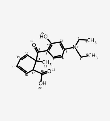 CCN(CC)c1ccc(C(=O)C2(C)C=CC=CC2C(=O)O)c(O)c1